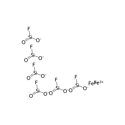 O=[Si]([O-])F.O=[Si]([O-])F.O=[Si]([O-])F.O=[Si]([O-])F.O=[Si]([O-])F.O=[Si]([O-])F.[Fe+3].[Fe+3]